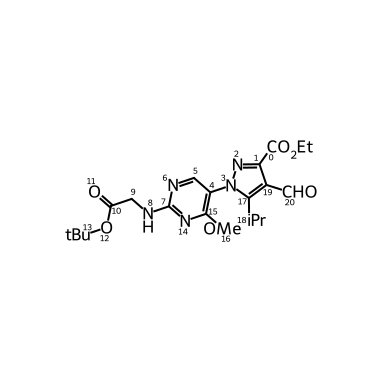 CCOC(=O)c1nn(-c2cnc(NCC(=O)OC(C)(C)C)nc2OC)c(C(C)C)c1C=O